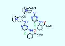 CNC(=O)c1ccccc1Nc1nc(Nc2ccc3c(c2)C2CCC3CN(CC#N)C2)ncc1Cl.CNC(=O)c1ccccc1Nc1nc(Nc2ccc3c(c2)C2CCC3CN(CC#N)C2)ncc1Cl